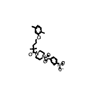 Cc1ccc(C)c(OCCCC(C)(C)C(=O)N2CCN(S(=O)(=O)c3ccc([N+](=O)[O-])cc3)CC2)c1